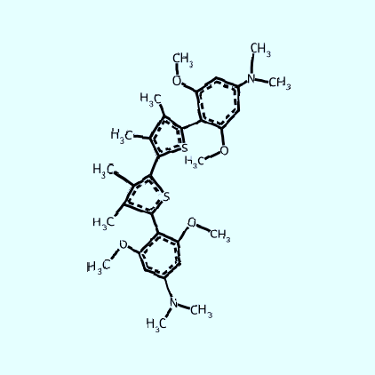 COc1cc(N(C)C)cc(OC)c1-c1sc(-c2sc(-c3c(OC)cc(N(C)C)cc3OC)c(C)c2C)c(C)c1C